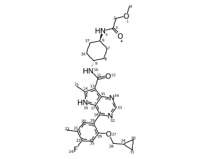 COCC(=O)N[C@H]1CC[C@H](NC(=O)c2c(C)[nH]c3c(-c4cc(C)c(F)cc4OCC4CC4)ncnc23)CC1